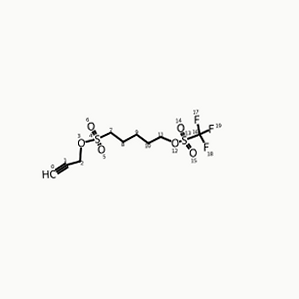 C#CCOS(=O)(=O)CCCCCOS(=O)(=O)C(F)(F)F